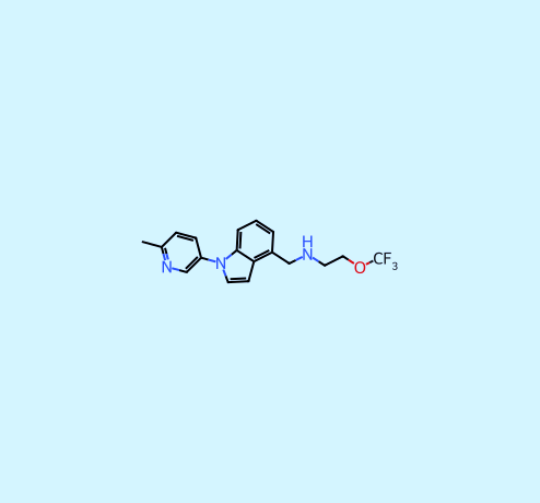 Cc1ccc(-n2ccc3c(CNCCOC(F)(F)F)cccc32)cn1